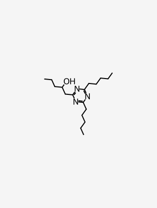 CCCCCc1nc(CCCCC)nc(CC(O)CCC)n1